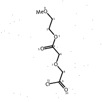 COCCOC(=O)COCC(=O)Cl